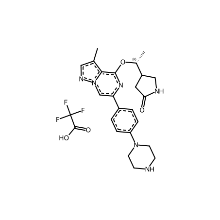 Cc1cnn2cc(-c3ccc(N4CCNCC4)cc3)nc(O[C@H](C)C3CNC(=O)C3)c12.O=C(O)C(F)(F)F